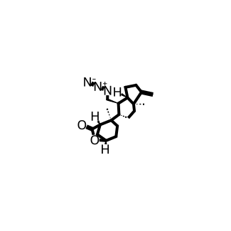 C=C1CC[C@H]2[C@H](CN=[N+]=[N-])[C@@H]([C@@]3(C)CC[C@H]4C[C@@H]3C(=O)O4)CC[C@]12C